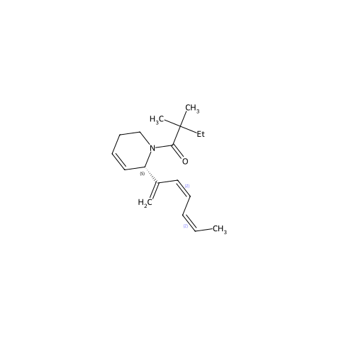 C=C(/C=C\C=C/C)[C@@H]1C=CCCN1C(=O)C(C)(C)CC